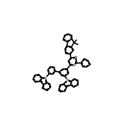 CC1(C)c2ccccc2-c2ccc(-c3cc(-c4cc(-c5cccc(-n6c7ccccc7c7ccccc76)c5)cc(-n5c6ccccc6c6ccccc65)c4)nc(-c4ccccc4)n3)cc21